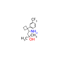 CC(C)(O)CC(N)C1(c2cccc(C(F)(F)F)c2)CCC1